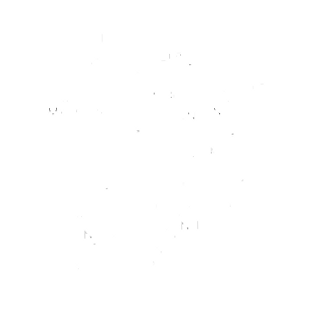 CCOc1cc(C2=NN(Cc3ccc(NC(=O)OC(C)CN(C)C)cc3)C(=O)SC2CC)ccc1OC